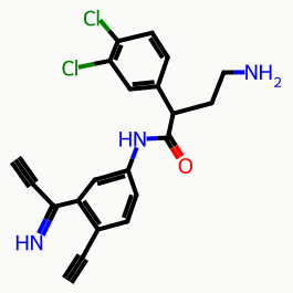 C#CC(=N)c1cc(NC(=O)C(CCN)c2ccc(Cl)c(Cl)c2)ccc1C#C